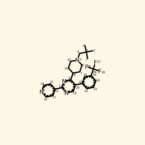 CC(C)(C)CN1CCC(c2nc(-c3ccncc3)ncc2-c2cccc(C(F)(F)F)c2)CC1